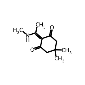 CNC(C)=C1C(=O)CC(C)(C)CC1=O